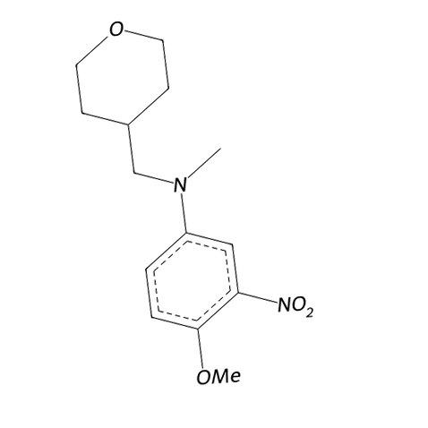 COc1ccc(N(C)CC2CCOCC2)cc1[N+](=O)[O-]